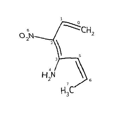 C=C/C(=C(N)\C=C/C)[N+](=O)[O-]